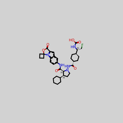 O=C(O)N[C@H](CF)[C@H]1CC[C@H](C(=O)NN2CC[C@@H](C3CCCCC3)[C@H]2C(=O)Nc2ccc3c(c2)cc2n3C3(CCC3)OC2=O)CC1